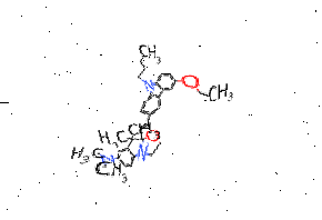 CCCCn1c2ccc(/C=C/C34OCCN3c3ccc(N(C)C)cc3C4(C)C)cc2c2cc(OCC)ccc21